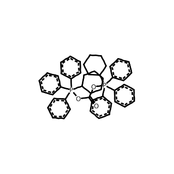 O=C(OP(c1ccccc1)(c1ccccc1)(c1ccccc1)C1CCCCC1)OP(c1ccccc1)(c1ccccc1)(c1ccccc1)C1CCCCC1